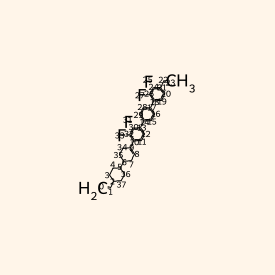 C=CC1CCC(C2CC=C(c3ccc(-c4ccc(-c5ccc(CC)c(F)c5F)cc4)c(F)c3F)CC2)CC1